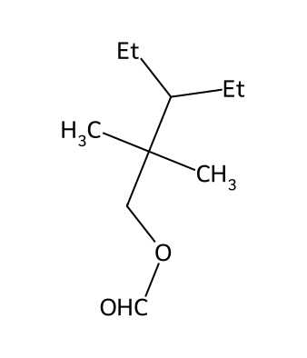 CCC(CC)C(C)(C)COC=O